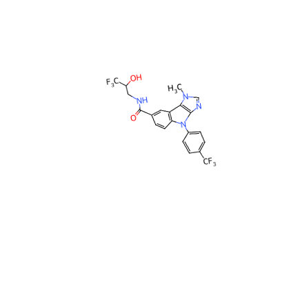 Cn1cnc2c1c1cc(C(=O)NCC(O)C(F)(F)F)ccc1n2-c1ccc(C(F)(F)F)cc1